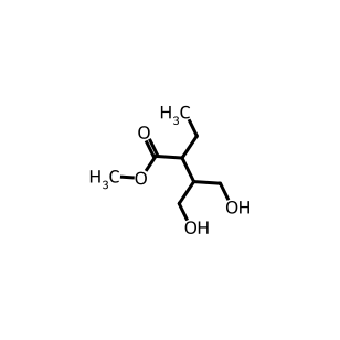 CCC(C(=O)OC)C(CO)CO